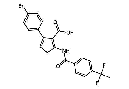 CC(F)(F)c1ccc(C(=O)Nc2scc(-c3ccc(Br)cc3)c2C(=O)O)cc1